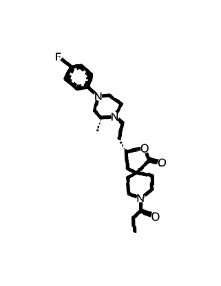 CCC(=O)N1CCC2(CC1)C[C@H](CCN1CCN(c3ccc(F)cc3)C[C@H]1C)OC2=O